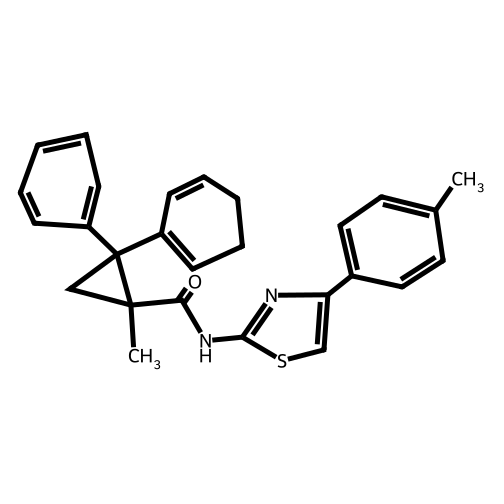 Cc1ccc(-c2csc(NC(=O)C3(C)CC3(C3=CCCC=C3)c3ccccc3)n2)cc1